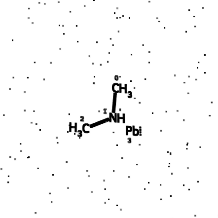 CNC.[Pb]